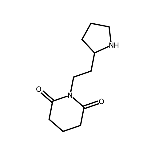 O=C1CCCC(=O)N1CCC1CCCN1